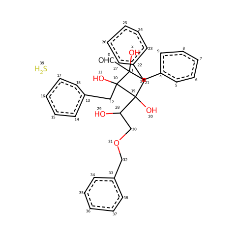 O=CC(O)(Cc1ccccc1)C(O)(Cc1ccccc1)C(O)(Cc1ccccc1)C(O)COCc1ccccc1.S